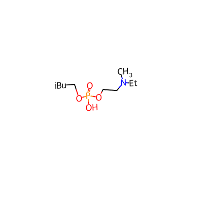 CCC(C)COP(=O)(O)OCCN(C)CC